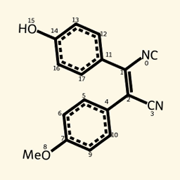 [C-]#[N+]C(=C(C#N)c1ccc(OC)cc1)c1ccc(O)cc1